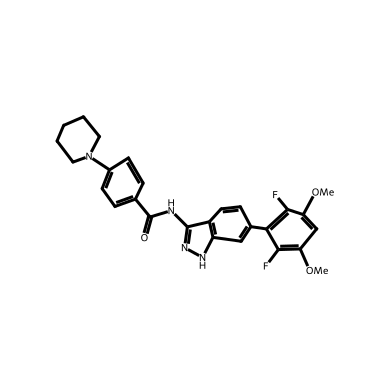 COc1cc(OC)c(F)c(-c2ccc3c(NC(=O)c4ccc(N5CCCCC5)cc4)n[nH]c3c2)c1F